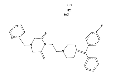 Cl.Cl.Cl.O=C1CN(Cc2ccccn2)CC(=O)N1CCN1CCC(=C(c2ccccc2)c2ccc(F)cc2)CC1